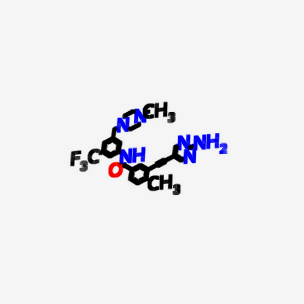 Cc1ccc(C(=O)Nc2cc(CN3CCN(C)CC3)cc(C(F)(F)F)c2)cc1C#Cc1cnc(N)nc1